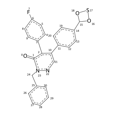 O=c1c(-c2ccc(F)cc2)c(-c2ccc(C3OSO3)cc2)cnn1Cc1ccccc1